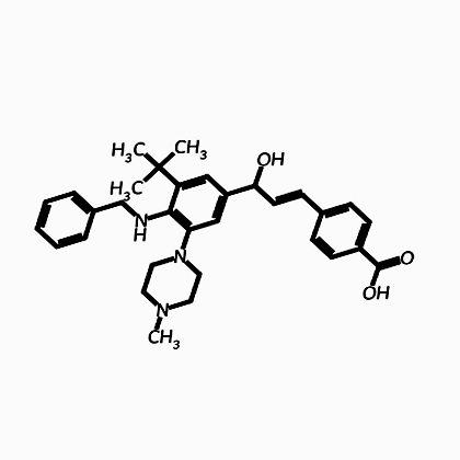 CN1CCN(c2cc(C(O)/C=C/c3ccc(C(=O)O)cc3)cc(C(C)(C)C)c2NCc2ccccc2)CC1